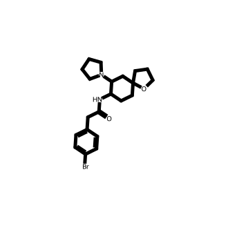 O=C(Cc1ccc(Br)cc1)NC1CCC2(CCCO2)CC1N1CCCC1